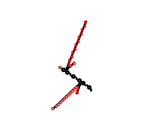 C=Cc1ccc(/C=C/c2ccc3c(c2)C(CCCOCCOC)(CCCOCOCOCOCOCOCOCOCOCOCOCCOC)c2cc(/C=C/c4ccc(/C=C/c5ccc6c(c5)C(CCCOCCOC)(CCCOCCOCCOCCOCCOCCOCCOCCOCCOCCOCCOCCOC)c5cc(Br)ccc5-6)cc4)ccc2-3)cc1